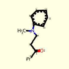 CC(C)C(=O)CCN(C)c1ccccc1